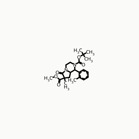 COC(=O)C1(C)CC2C(c3ccccc3C)N(C(=O)OC(C)(C)C)CCN2C1=O